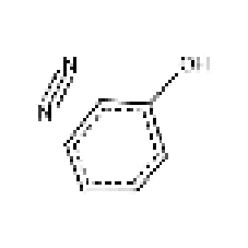 N#N.Oc1ccccc1